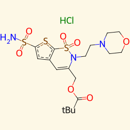 CC(C)(C)C(=O)OCC1=Cc2cc(S(N)(=O)=O)sc2S(=O)(=O)N1CCN1CCOCC1.Cl